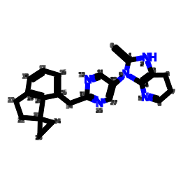 C=C1NC2=C(N=CCC2)N1c1cnc(Cc2cccc3c2C2(CC3)CC2)nc1